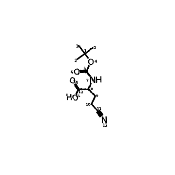 CC(C)(C)OC(=O)NC(CCC#N)C(=O)O